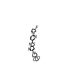 F[C@@H]1CCN(c2ccc(-c3nc4ncc(N5CCC6(CC5)OCCO6)cc4s3)cn2)C1